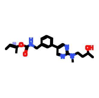 C/C=C(\C)OC(=O)NCc1cccc(-c2cnc(N(C)CCC(C)O)nc2)c1